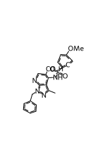 COc1ccc(S(=O)(=O)Nc2c(C(=O)O)cnc3c2c(C)nn3Cc2ccccc2)cc1